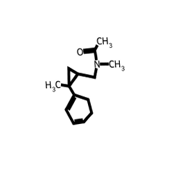 CC(=O)N(C)CC1CC1(C)C1=CC=CCC1